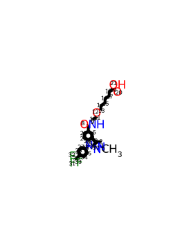 Cn1cc2c3cc(C(=O)NCCOCCCCCCC(=O)O)ccc3n(-c3ccc(C(F)(F)F)cc3)c2n1